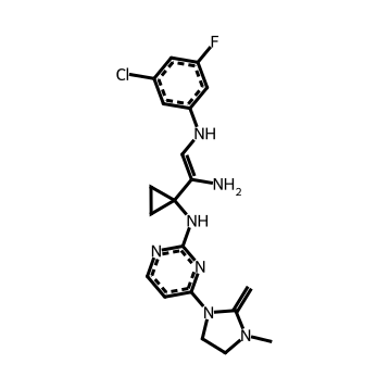 C=C1N(C)CCN1c1ccnc(NC2(/C(N)=C/Nc3cc(F)cc(Cl)c3)CC2)n1